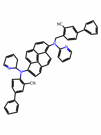 N#Cc1cc(-c2ccccc2)ccc1CN(c1ccccn1)c1ccc2ccc3c(N(c4ccc(-c5ccccc5)cc4C#N)C4CC=CC=N4)ccc4ccc1c2c43